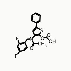 CC(=O)N(Cc1ccc(F)cc1F)c1cc(-c2ccccc2)sc1OC(=O)O